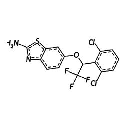 Nc1nc2ccc(OC(c3c(Cl)cccc3Cl)C(F)(F)F)cc2s1